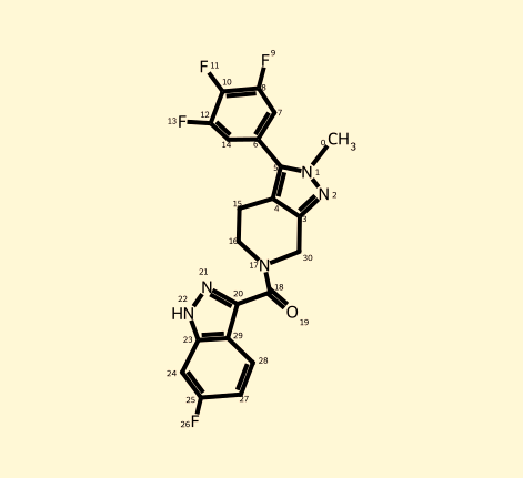 Cn1nc2c(c1-c1cc(F)c(F)c(F)c1)CCN(C(=O)c1n[nH]c3cc(F)ccc13)C2